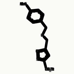 CCOC(=O)c1cc(COCc2ccc(SC)cc2)on1